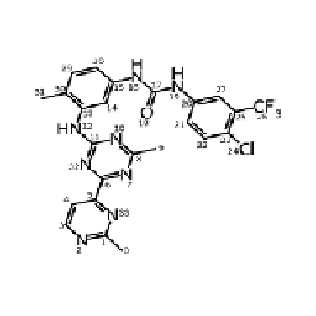 Cc1nccc(-c2nc(C)nc(Nc3cc(NC(=O)Nc4ccc(Cl)c(C(F)(F)F)c4)ccc3C)n2)n1